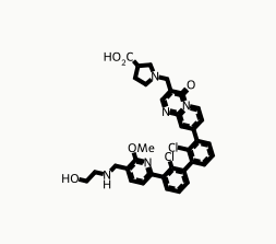 COc1nc(-c2cccc(-c3cccc(-c4ccn5c(=O)c(CN6CCC(C(=O)O)C6)cnc5c4)c3Cl)c2Cl)ccc1CNCCO